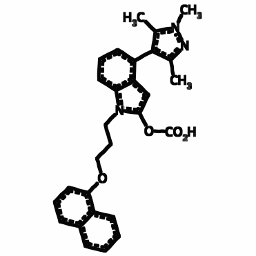 Cc1nn(C)c(C)c1-c1cccc2c1cc(OC(=O)O)n2CCCOc1cccc2ccccc12